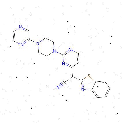 N#CC(c1ccnc(N2CCN(c3cnccn3)CC2)n1)c1nc2ccccc2s1